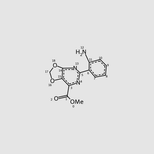 COC(=O)c1nc(-c2ccccc2N)nc2c1OCO2